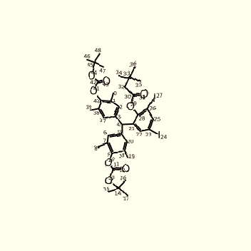 Cc1cc(C(c2cc(C)c(OC(=O)OC(C)(C)C)c(C)c2)c2cc(I)cc(I)c2OC(=O)CC(C)(C)C)cc(C)c1OC(=O)OC(C)(C)C